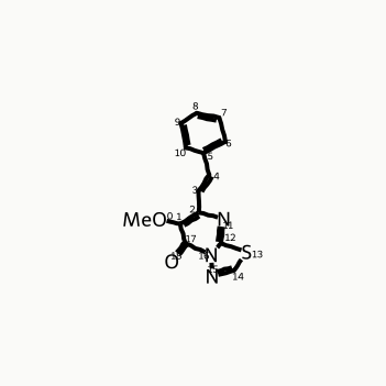 COc1c(/C=C/c2ccccc2)nc2scnn2c1=O